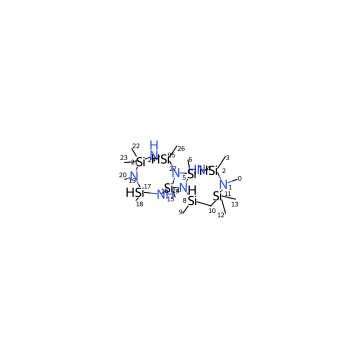 CN1[SiH](C)N[Si]2(C)N([SiH](C)C[Si]1(C)C)[Si]1(C)N[SiH](C)N(C)[Si](C)(C)N[SiH](C)N21